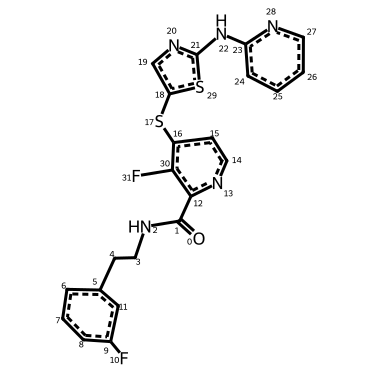 O=C(NCCc1cccc(F)c1)c1nccc(Sc2cnc(Nc3ccccn3)s2)c1F